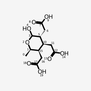 C[C@H]1OC(O)[C@H](CC(=O)O)[C@@H](CC(=O)O)[C@H]1CC(=O)O